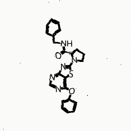 O=C(NCc1ccccc1)[C@H]1CCCN1c1nc2ncnc(Oc3ccccc3)c2s1